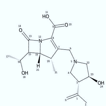 C=C(C)[C@@H]1CN(CC2=C(C(=O)O)N3C(=O)C([C@@H](C)O)[C@H]3[C@H]2C)C[C@H]1O